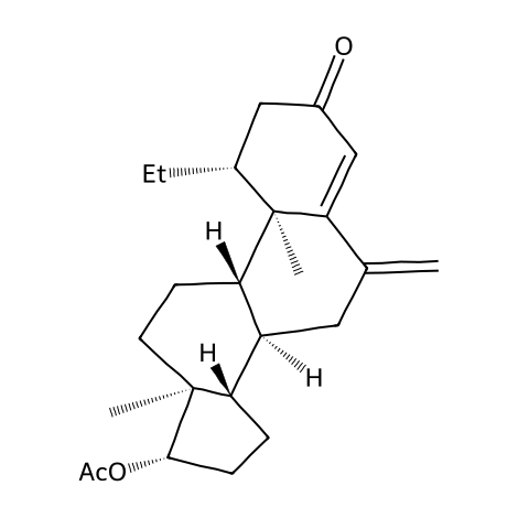 C=C1C[C@H]2[C@@H]3CC[C@H](OC(C)=O)[C@@]3(C)CC[C@@H]2[C@]2(C)C1=CC(=O)C[C@H]2CC